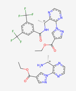 CCOC(=O)c1cnn(-c2nccnc2[C@@H](C)N)c1.CCOC(=O)c1cnn(-c2nccnc2[C@@H](C)NC(=O)c2cc(C(F)(F)F)cc(C(F)(F)F)c2)c1